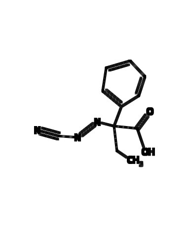 CCC(N=NC#N)(C(=O)O)c1ccccc1